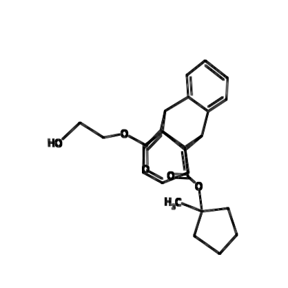 CC1(OC(=O)C2C3c4ccccc4C(c4ccccc43)C2C(=O)OCCO)CCCC1